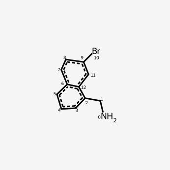 NCc1cccc2ccc(Br)cc12